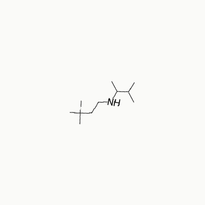 CC(C)C(C)NCCC(C)(C)C